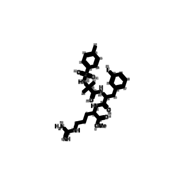 COC(=O)C(CCCNC(=N)N)NC(=O)C(Cc1cccc(F)c1)NC(=O)C(C)(C)NS(=O)(=O)c1ccc(C)cc1